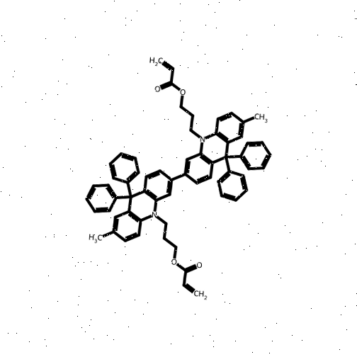 C=CC(=O)OCCCN1c2cc(-c3ccc4c(c3)N(CCCOC(=O)C=C)c3ccc(C)cc3C4(c3ccccc3)c3ccccc3)ccc2C(c2ccccc2)(c2ccccc2)c2cc(C)ccc21